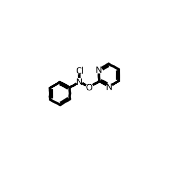 ClN(Oc1ncccn1)c1ccccc1